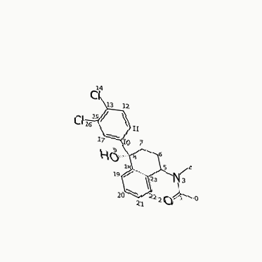 CC(=O)N(C)C1CC[C@](O)(c2ccc(Cl)c(Cl)c2)c2ccccc21